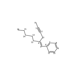 CC#C[CH]/C(=C\c1ccccc1)CCCCC